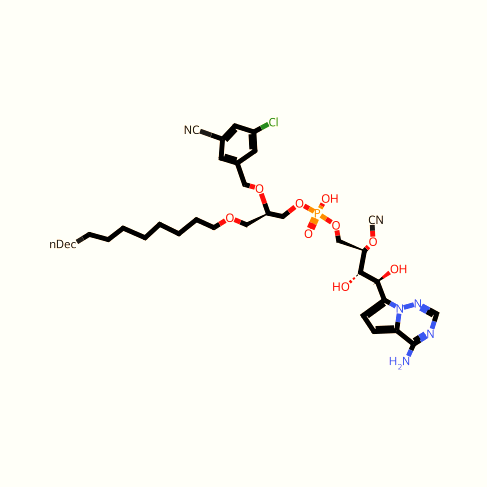 CCCCCCCCCCCCCCCCCCOC[C@H](COP(=O)(O)OC[C@@H](OC#N)[C@@H](O)[C@@H](O)c1ccc2c(N)ncnn12)OCc1cc(Cl)cc(C#N)c1